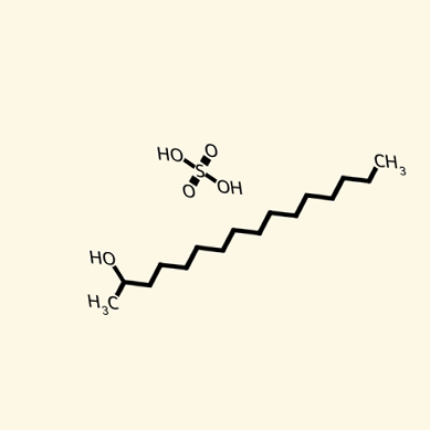 CCCCCCCCCCCCCCC(C)O.O=S(=O)(O)O